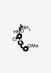 COc1cccc(CC2CCN(c3ccc(NC(=O)/C=C(/C)N)cc3Cl)CC2)c1